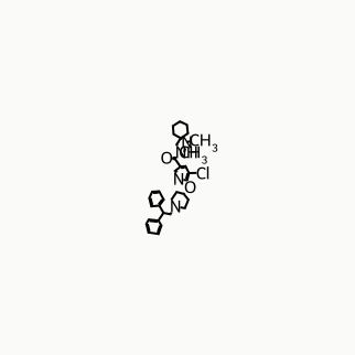 CN(C)C1(CNC(=O)c2cnc(OC3CCN(CC(c4ccccc4)c4ccccc4)CC3)c(Cl)c2)CCCCC1